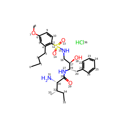 CCCCc1cc(OC)ccc1S(=O)(=O)NC[C@@H](O)[C@H](Cc1ccccc1)NC(=O)[C@@H](N)[C@@H](C)CC.Cl